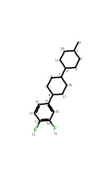 CC1CCC(C2CCC(c3ccc(F)c(F)c3)CC2)CC1